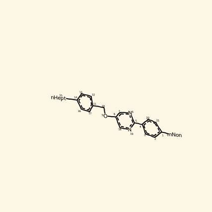 CCCCCCCCCc1ccc(-c2ncc(OCc3ccc(CCCCCCC)cc3)cn2)cc1